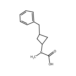 CN(C(=O)O)C1CC(Cc2ccccc2)C1